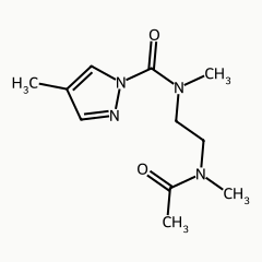 CC(=O)N(C)CCN(C)C(=O)n1cc(C)cn1